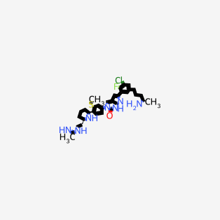 CSc1cc(-n2cc3cc(-c4cc(CCC[C@H](C)N)cc(Cl)c4F)[nH]c3nc2=O)ccc1[C@@H]1CCC[C@@H](CCNC(C)=N)N1